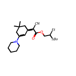 CCCCC(CC)COC(=O)/C(C#N)=C1\C=C(N2CCCCC2)CC(C)(C)C1